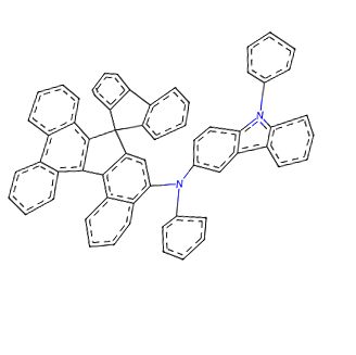 c1ccc(N(c2ccc3c(c2)c2ccccc2n3-c2ccccc2)c2cc3c(c4ccccc24)-c2c(c4ccccc4c4ccccc24)C32c3ccccc3-c3ccccc32)cc1